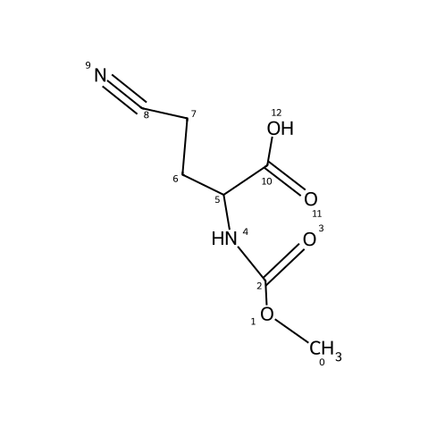 COC(=O)NC(CCC#N)C(=O)O